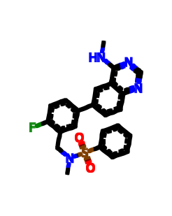 CNc1ncnc2ccc(-c3ccc(F)c(CN(C)S(=O)(=O)c4ccccc4)c3)cc12